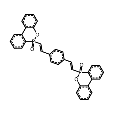 O=P1(/C=C/c2ccc(/C=C/P3(=O)Oc4ccccc4-c4ccccc43)cc2)Oc2ccccc2-c2ccccc21